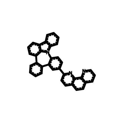 c1ccc2c(c1)-c1cc(-c3ccc4ccc5cccnc5c4n3)ccc1-n1c3ccccc3c3cccc-2c31